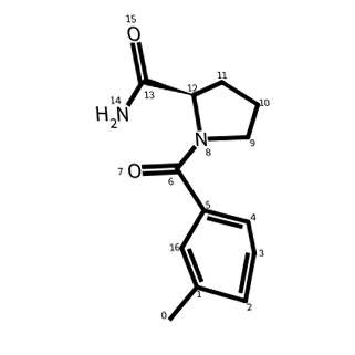 Cc1cccc(C(=O)N2CCC[C@@H]2C(N)=O)c1